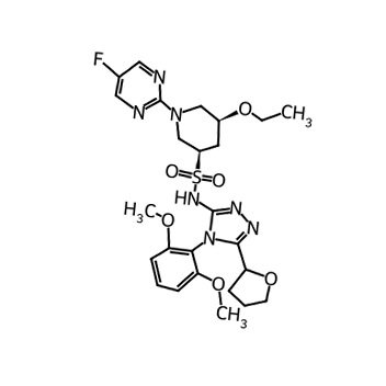 CCO[C@H]1C[C@@H](S(=O)(=O)Nc2nnc(C3CCCO3)n2-c2c(OC)cccc2OC)CN(c2ncc(F)cn2)C1